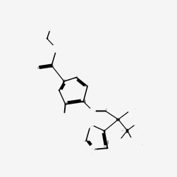 CCOC(=O)c1ccc(SCC(O)(c2cncs2)C(C)(C)C)c(C)c1